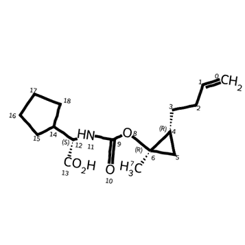 C=CCC[C@@H]1C[C@@]1(C)OC(=O)N[C@H](C(=O)O)C1CCCC1